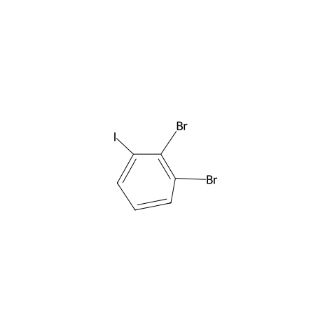 Brc1cccc(I)c1Br